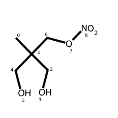 CC(CO)(CO)CO[N+](=O)[O-]